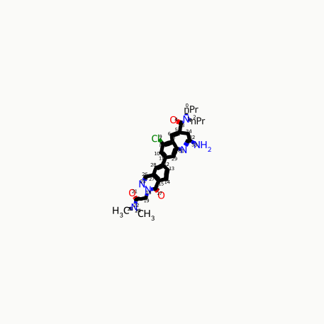 CCCN(CCC)C(=O)C1=Cc2c(Cl)cc(-c3ccc4c(=O)n(CC(=O)N(C)C)ncc4c3)cc2N=C(N)C1